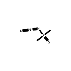 CP(C)(=S)N=[N+]=[N-]